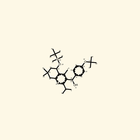 CC(C)c1nc2c(c(I)c1[C@H](O)c1ccc(OC(C)(C)C)cc1)C(O[Si](C)(C)C(C)(C)C)CC(C)(C)C2